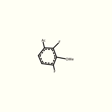 COc1c(F)ccc(C(C)=O)c1F